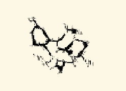 COc1ccc(Cl)cc1C(=N/C#N)/N=c1\scc(C)n1CC1CCC1